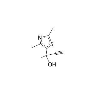 C#CC(C)(O)c1sc(C)nc1C